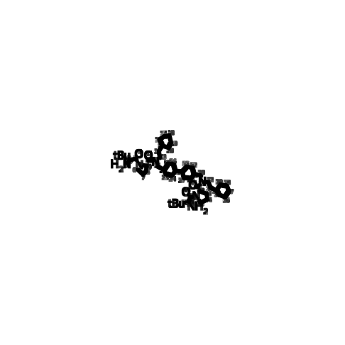 CC(C)(C)[C@H](N)C(=O)N1CCC[C@H]1C(=O)N(CCc1ccccc1)Cc1ccc(-c2ccc(CN(CCc3ccccc3)C(=O)[C@@H]3CCCN3C(=O)[C@@H](N)C(C)(C)C)cc2)cc1